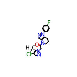 Cc1c(Cl)cnn1CC(=O)N1CCCc2c1cnn2-c1ccc(F)cc1